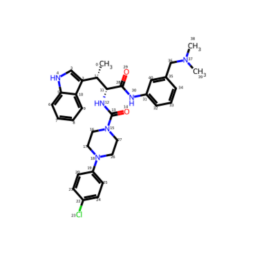 C[C@@H](c1c[nH]c2ccccc12)[C@@H](NC(=O)N1CCN(c2ccc(Cl)cc2)CC1)C(=O)Nc1cccc(CN(C)C)c1